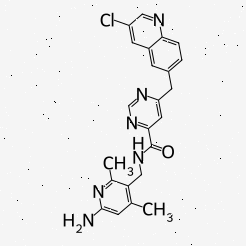 Cc1cc(N)nc(C)c1CNC(=O)c1cc(Cc2ccc3ncc(Cl)cc3c2)ncn1